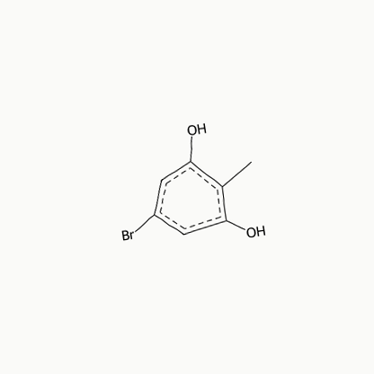 Cc1c(O)cc(Br)cc1O